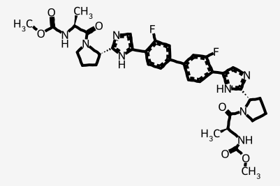 COC(=O)N[C@@H](C)C(=O)N1CCC[C@H]1c1ncc(-c2ccc(-c3ccc(-c4cnc([C@@H]5CCCN5C(=O)[C@H](C)NC(=O)OC)[nH]4)c(F)c3)cc2F)[nH]1